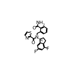 NC(=O)c1ccccc1CN(C(=O)c1nccs1)[C@@H]1CCc2c(F)cc(F)cc21